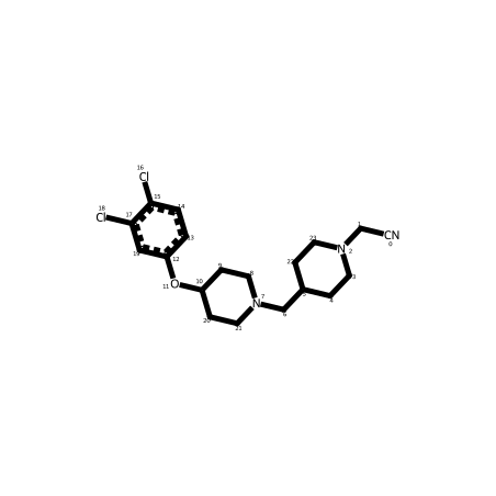 N#CCN1CCC(CN2CCC(Oc3ccc(Cl)c(Cl)c3)CC2)CC1